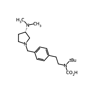 CN(C)[C@H]1CCN(Cc2ccc(CCN(C(=O)O)C(C)(C)C)cc2)C1